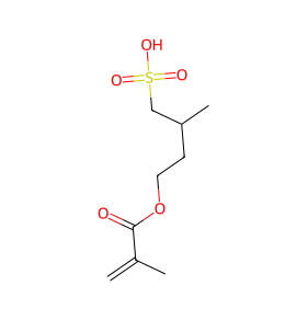 C=C(C)C(=O)OCCC(C)CS(=O)(=O)O